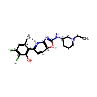 CCN1CCC[C@@H](Nc2nc3nc(-c4c(C)cc(Cl)c(F)c4O)ccc3o2)C1